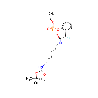 CCO[PH](=O)Oc1ccccc1C(F)C(=O)NCCCCCCNC(=O)OC(C)(C)C